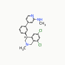 CNc1cc(-c2cccc([C@@H]3CN(C)Cc4c(Cl)cc(Cl)cc43)c2)ccn1